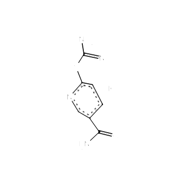 Cl.N=C(N)Sc1ccc(C(N)=O)cn1